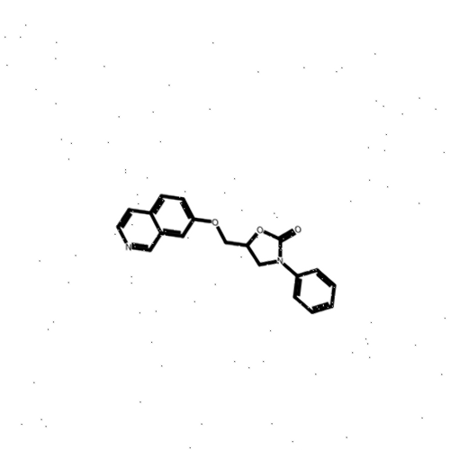 O=C1OC(COc2ccc3ccncc3c2)CN1c1ccccc1